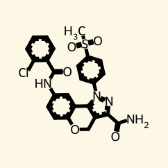 CS(=O)(=O)c1ccc(-n2nc(C(N)=O)c3c2-c2cc(NC(=O)c4ccccc4Cl)ccc2OC3)cc1